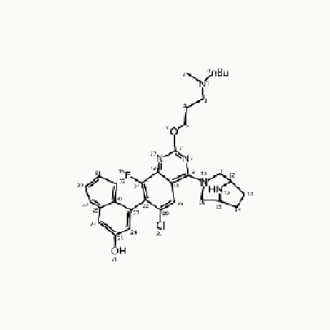 CCCCN(C)CCCOc1nc(N2CC3CCC(C2)N3)c2cc(Cl)c(-c3cc(O)cc4ccccc34)c(F)c2n1